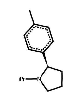 Cc1ccc([C@H]2CCCN2C(C)C)cc1